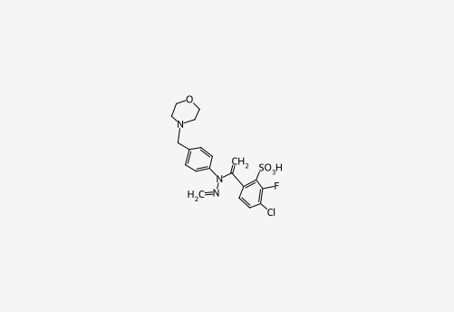 C=NN(C(=C)c1ccc(Cl)c(F)c1S(=O)(=O)O)c1ccc(CN2CCOCC2)cc1